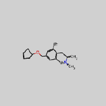 C=NC(=C)Cc1c(C(C)C)cc(COC2CCCC2)cc1C(C)C